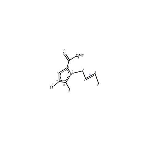 C/C=C/Cn1c(C(=O)OC)cc(CC)c1C